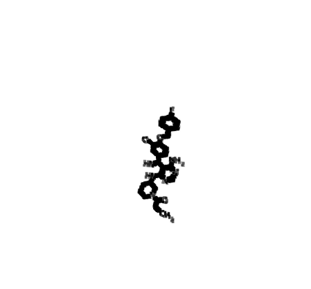 C=CC(=O)N1CCCC(Nc2ncnc(N)c2C(=N)c2ccc(OCc3ccc(F)cc3)c(Cl)c2)C1